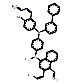 C=C/C=C\c1cc(N(c2ccc(N(C)c3cc(/C=C\C)c(C=C)c4ccccc34)cc2)c2cccc(-c3ccccc3)c2)ccc1C